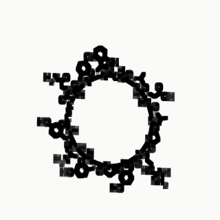 CC(C)C[C@@H]1NC(=O)[C@H](CCC(=O)O)NC(=O)[C@H](CC(C)C)NC(=O)[C@@H]2CCCN2C(=O)[C@H](CCCNC(=N)N)NC(=O)[C@H](Cc2ccc(O)cc2)NC(=O)[C@@H]2CCCN2C(=O)[C@H](Cc2ccc(O)cc2)NC(=O)[C@H](CC(N)=O)NC(=O)[C@@H](Cc2ccc(O)cc2)NC(=O)CSC[C@@H](C(=O)NCC(N)=O)NC(=O)[C@H](Cc2ccc(O)cc2)NC(=O)[C@H](Cc2c[nH]c3ccccc23)NC(=O)CNC1=O